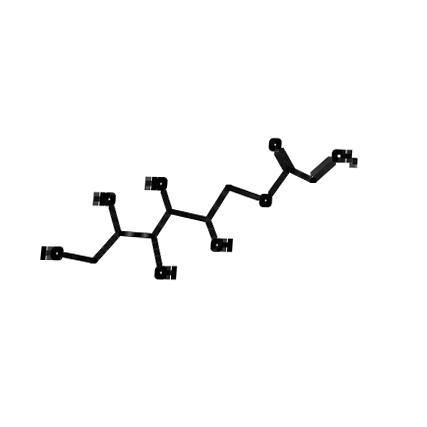 C=CC(=O)OCC(O)C(O)C(O)C(O)CO